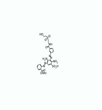 COC(=O)c1ccccc1/N=N/c1cc(S(=O)(=O)O)c(N)c(/N=N/c2cccc(C(=O)NCCS(=O)(=O)CCO)c2)c1N